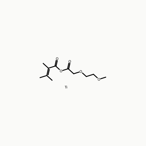 COCCOCC(=O)OC(=O)C(C)=C(C)C.[Ti]